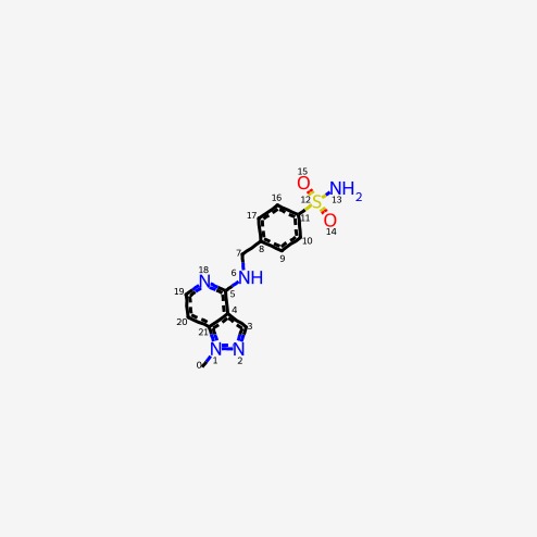 Cn1ncc2c(NCc3ccc(S(N)(=O)=O)cc3)nccc21